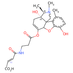 Cc1ccc(O)c2c1C13CCN(C)[C@H](C)[C@]1(O)CC=C(OC(=O)CCNC(=O)/C=C/C(=O)O)C3O2